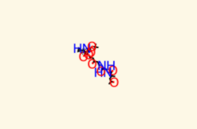 CC(=O)CC(C)C(=O)NCC(=O)NCCC(=O)CCOC(=O)[C@@H](NC(=O)OC(C)(C)C)C1CC1